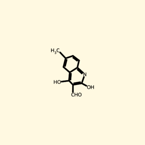 Cc1ccc2nc(O)c(C=O)c(O)c2c1